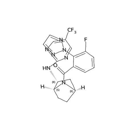 O=C(c1cccc(F)c1-n1nccn1)N1[C@@H]2CC[C@H]1[C@H](Nc1ncc(C(F)(F)F)cn1)C2